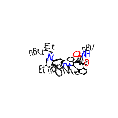 CCCCNC(=O)C1=CC(=Nc2c(OC)cc(N(CC(CC)CCCC)CC(CC)CCCC)cc2OC)c2ccccc2C1=O